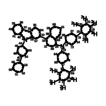 [2H]c1c([2H])c([2H])c(-c2ccc(N(c3ccc(-c4c([2H])c([2H])c([2H])c([2H])c4[2H])cc3)c3ccc(-c4ccc5c6ccccc6n(-c6ccc(-c7ccccc7)cc6)c5c4)c4ccccc34)cc2)c([2H])c1[2H]